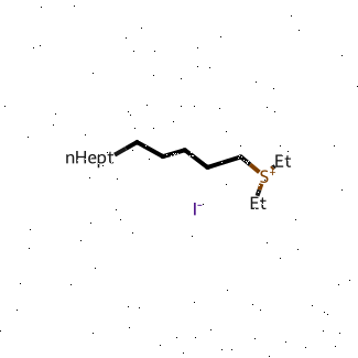 CCCCCCCCCCCC[S+](CC)CC.[I-]